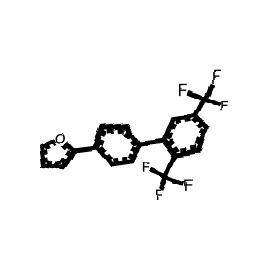 FC(F)(F)c1ccc(C(F)(F)F)c(-c2ccc(-c3ccco3)cc2)c1